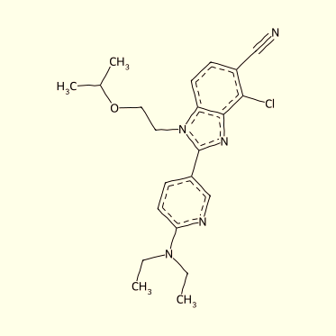 CCN(CC)c1ccc(-c2nc3c(Cl)c(C#N)ccc3n2CCOC(C)C)cn1